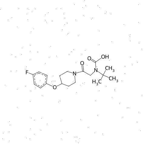 CC(C)(C)N(CC(=O)N1CCC(Oc2ccc(F)cc2)CC1)C(=O)O